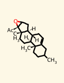 CC(=O)[C@@]12OC1C[C@H]1[C@@H]3CC=C4CC(C)CC[C@]4(C)[C@H]3CC[C@@]12C